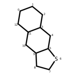 C1CCC2CC3SCCC3CC2C1